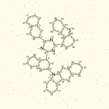 c1ccc2cc(-c3nc(-c4cc(-n5c6ccccc6c6cc7ccccc7cc65)cc5ccccc45)nc(-c4cccc5sc6ccccc6c45)n3)ccc2c1